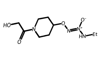 CCN/[N+]([O-])=N/OC1CCN(C(=O)CO)CC1